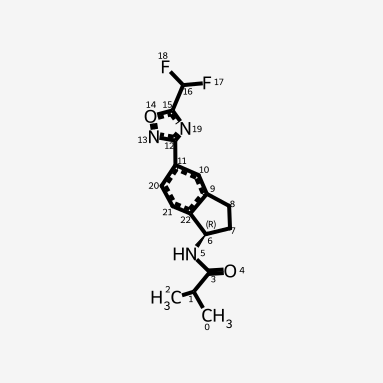 CC(C)C(=O)N[C@@H]1CCc2cc(-c3noc(C(F)F)n3)ccc21